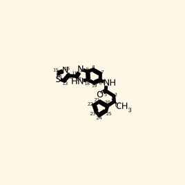 C[C@H](CC(=O)Nc1ccc2nc(-c3cscn3)[nH]c2c1)c1ccccc1